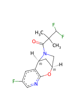 CC(C)(C(=O)N1C[C@@H]2C[C@H]1c1cc(F)cnc1O2)C(F)F